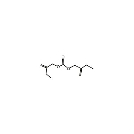 C=C(CC)COC(=O)OCC(=C)CC